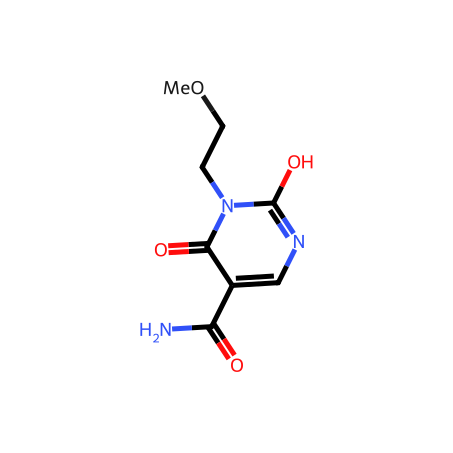 COCCn1c(O)ncc(C(N)=O)c1=O